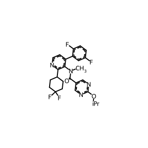 CC(C)Oc1ncc(C(=O)N(C)c2c(-c3cc(F)ccc3F)ccnc2C2CCC(F)(F)CC2)cn1